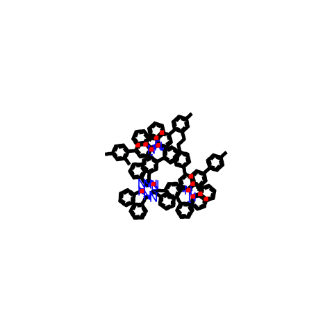 Cc1ccc(-c2ccc3c(c2)c2ccccc2n3-c2ccc(-c3nc(-c4ccccc4)nc(-c4ccccc4)n3)cc2-c2ccccc2-n2c3ccccc3c3cc(-c4ccc(CCc5cc(C)ccc5-c5ccc6c(c5)c5ccccc5n6-c5ccc(-c6nc(-c7ccccc7)nc(-c7ccccc7)n6)cc5-c5ccccc5-n5c6ccccc6c6cc(-c7ccc(C)cc7C)ccc65)cc4)ccc32)cc1